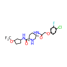 O=C(COc1ccc(Cl)c(F)c1)N[C@H]1CC[C@H](C(=O)NC2CCC(OC(F)(F)F)C2)NC1